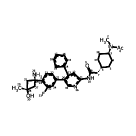 CC(=O)N(C)[C@H]1CC[C@H](CC(=O)Nc2cc(-c3ccccc3)c(-c3ccc([C@]4(N)C[C@](C)(O)C4)c(F)c3)cn2)CC1